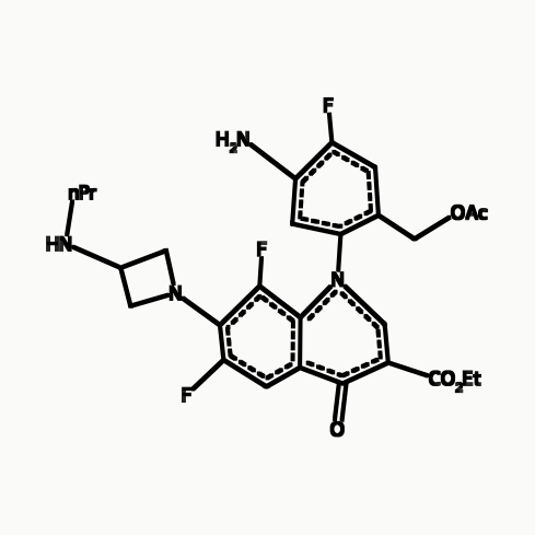 CCCNC1CN(c2c(F)cc3c(=O)c(C(=O)OCC)cn(-c4cc(N)c(F)cc4COC(C)=O)c3c2F)C1